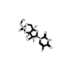 CC(C)O[P@@]1(=O)OC[C@H]2O[C@@H](n3cc(F)c(=O)[nH]c3=O)[C@@](F)(Cl)[C@@H]2O1